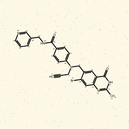 C#CCN(Cc1cc2c(=O)[nH]c(C)nc2cc1Br)c1ccc(C(=O)NCc2cccnc2)cc1